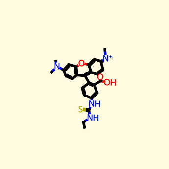 CCNC(=S)Nc1ccc(-c2c3ccc(=[N+](C)C)cc-3oc3cc(N(C)C)ccc23)c(C(=O)O)c1